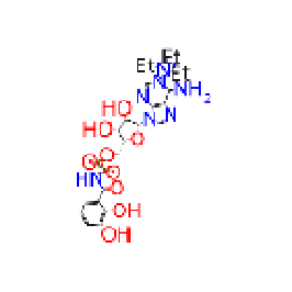 CC[N+](CC)(CC)N1C=Nc2c(ncn2[C@@H]2O[C@H](COS(=O)(=O)NC(=O)c3cccc(O)c3O)C(O)C2O)C1N